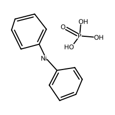 O=P(O)(O)O.c1cc[c]([Ni][c]2ccccc2)cc1